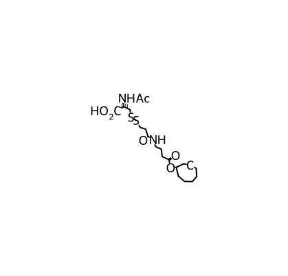 CC(=O)N[C@@H](CSSCCC(=O)NCCCC(=O)OC1CCCCCCC1)C(=O)O